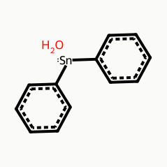 O.c1cc[c]([Sn][c]2ccccc2)cc1